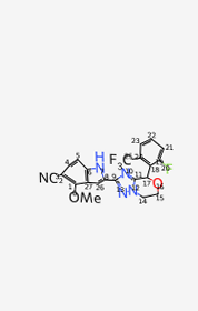 COc1c(C#N)ccc2[nH]c(-c3nc4n(n3)CCOC4c3c(F)cccc3C(F)(F)F)cc12